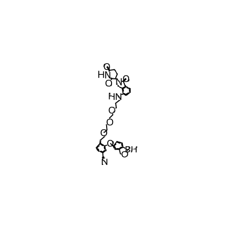 N#Cc1ccc(CCOCCOCCOCCCNc2cccc3c2CN(C2CCC(=O)NC2=O)C3=O)c(Oc2ccc3c(c2)COB3)c1